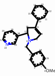 COc1ccc(CN2CC=C(c3ccccc3)CC2c2cccnc2)cc1